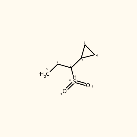 [CH2]CC(C1CC1)[SH](=O)=O